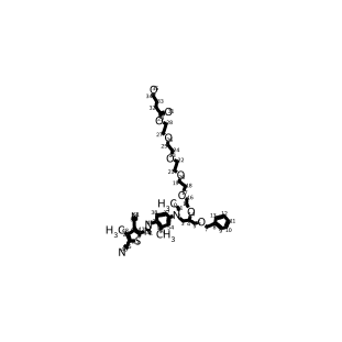 CCN(CC(COCc1ccccc1)OCCOCCOCCOCCOCCOC(=O)CCC=O)c1ccc(/N=N/c2sc(C#N)c(C)c2C#N)c(C)c1